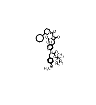 COc1ccc(CN(C(=O)OC(C)(C)C)c2cc(CC3C(=O)N(C(=O)N4CCCC(C5CCCCCCC5)C4)[C@@H]3C(=O)O)ccn2)cc1